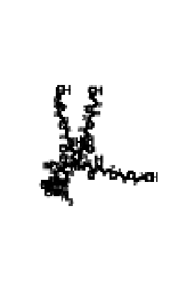 C#CCOCCOCCNC(=O)CCC(CCC(=O)NCCOCCOCC#C)(CCC(=O)NCCOCCOCC#C)NC(=O)C1(CCC)CCC(C)(OP(=O)(OC)C(C)(C)C)CC1